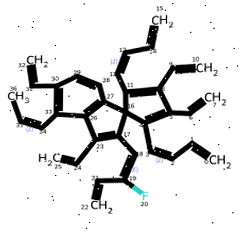 C=C/C=C\C1=C(C=C)C(C=C)=C(/C=C\C=C)C12C(/C=C(/F)C=C)=C(C=C)c1c2ccc(C=C)c1/C=C\C